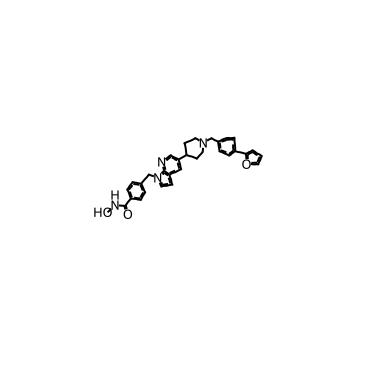 O=C(NO)c1ccc(Cn2ccc3cc(C4CCN(Cc5ccc(-c6ccco6)cc5)CC4)cnc32)cc1